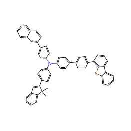 CC1(C)C(c2ccc(N(c3ccc(-c4ccc(-c5cccc6c5sc5ccccc56)cc4)cc3)c3ccc(-c4ccc5ccccc5c4)cc3)cc2)=Cc2ccccc21